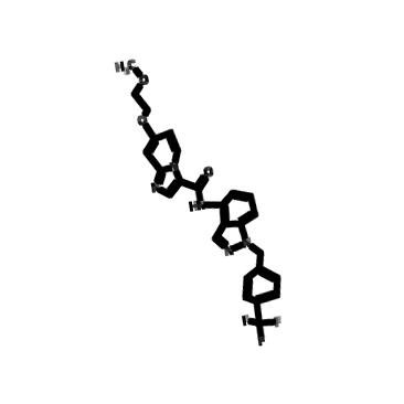 COCCOc1ccn2c(C(=O)Nc3cccc4c3cnn4Cc3ccc(C(F)(F)F)cc3)cnc2c1